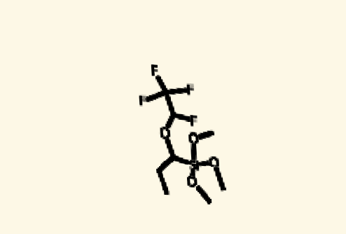 CCC(OC(F)C(F)(F)F)[Si](OC)(OC)OC